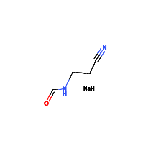 N#CCCNC=O.[NaH]